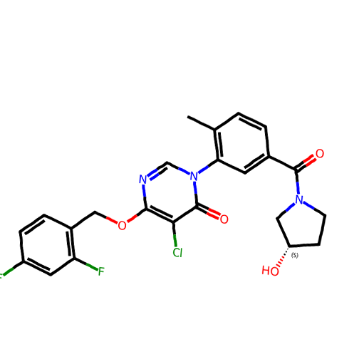 Cc1ccc(C(=O)N2CC[C@H](O)C2)cc1-n1cnc(OCc2ccc(F)cc2F)c(Cl)c1=O